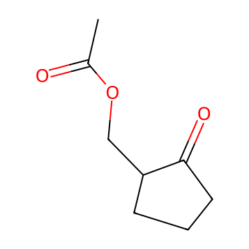 CC(=O)OCC1CCCC1=O